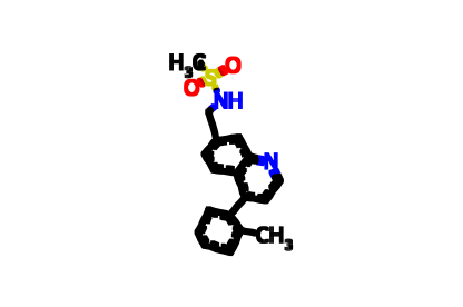 Cc1ccccc1-c1ccnc2cc(CNS(C)(=O)=O)ccc12